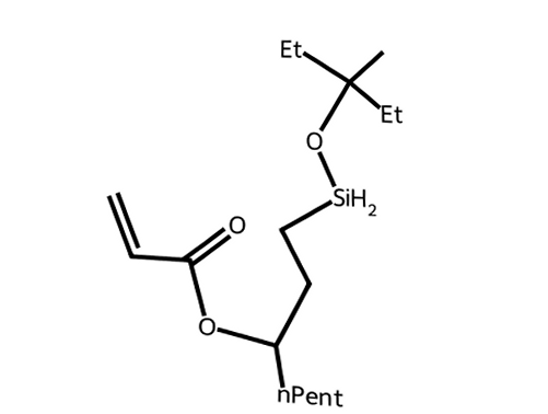 C=CC(=O)OC(CCCCC)CC[SiH2]OC(C)(CC)CC